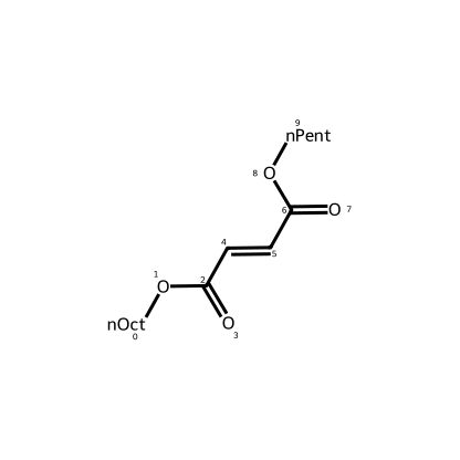 CCCCCCCCOC(=O)C=CC(=O)OCCCCC